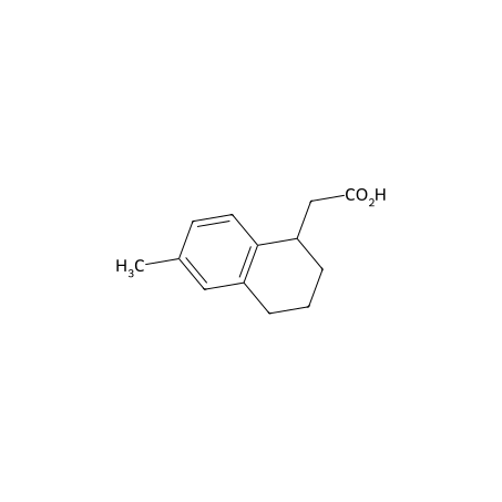 Cc1ccc2c(c1)CCCC2CC(=O)O